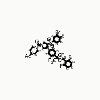 CC(=O)N1CCN(C(=O)N2C[C@@H](S(=O)(=O)c3ccc(F)c(Br)c3)[C@H](c3ccc(C(OCc4c(F)cccc4F)(C(F)(F)F)C(F)(F)F)cc3)C2)CC1